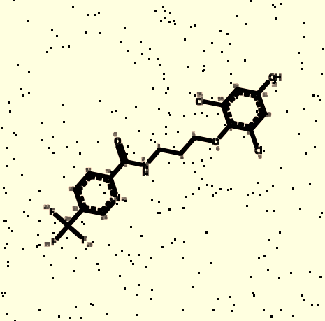 O=C(NCCCOc1c(Cl)cc(O)cc1Cl)c1ccc(C(F)(F)F)cn1